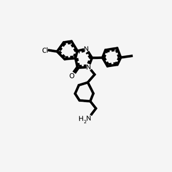 Cc1ccc(-c2nc3ccc(Cl)cc3c(=O)n2CC2CCCC(CN)C2)cc1